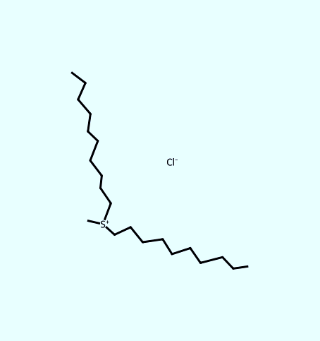 CCCCCCCCCC[S+](C)CCCCCCCCCC.[Cl-]